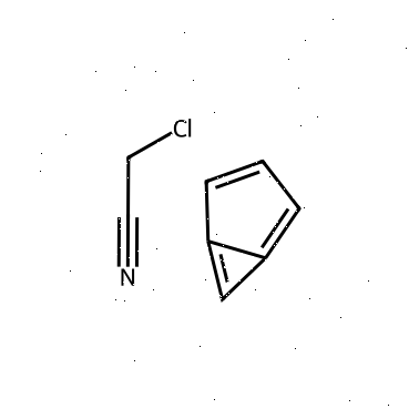 N#CCCl.c1cc2cc-2c1